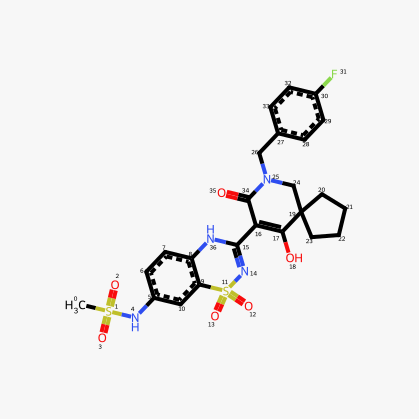 CS(=O)(=O)Nc1ccc2c(c1)S(=O)(=O)N=C(C1=C(O)C3(CCCC3)CN(Cc3ccc(F)cc3)C1=O)N2